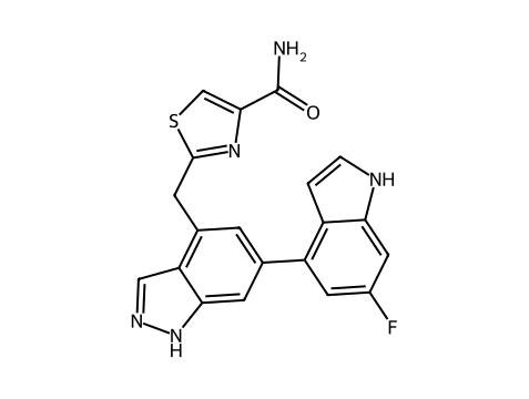 NC(=O)c1csc(Cc2cc(-c3cc(F)cc4[nH]ccc34)cc3[nH]ncc23)n1